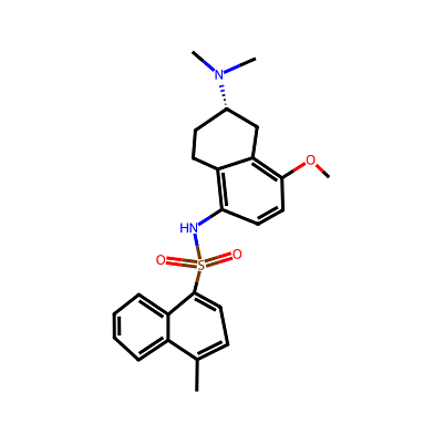 COc1ccc(NS(=O)(=O)c2ccc(C)c3ccccc23)c2c1C[C@@H](N(C)C)CC2